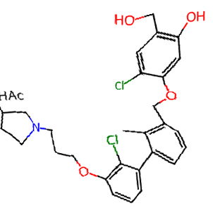 CC(=O)NC1CCN(CCCOc2cccc(-c3cccc(COc4cc(O)c(CO)cc4Cl)c3C)c2Cl)C1